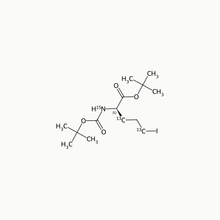 CC(C)(C)OC(=O)[15NH][C@H]([13CH2]C[13CH2]I)C(=O)OC(C)(C)C